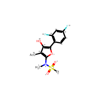 CCS(=O)(=O)N(C)c1oc(-c2ccc(F)cc2F)c(O)c1OC(C)=O